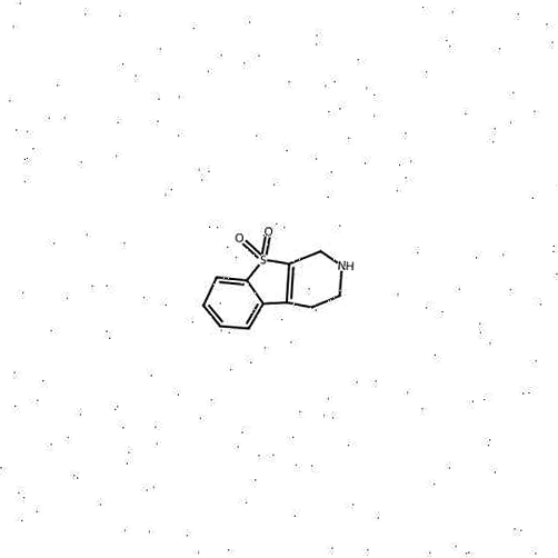 O=S1(=O)C2=C(CCNC2)c2ccccc21